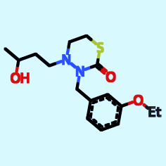 CCOc1cccc(CN2C(=O)SCCN2CCC(C)O)c1